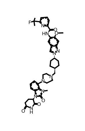 COc1cc2nn([C@H]3CC[C@H](CN4CCN(c5cccc6c5n(C)c(=O)n6C5CCC(=O)NC5=O)CC4)CC3)cc2cc1NC(=O)c1cccc(C(C)(C)F)n1